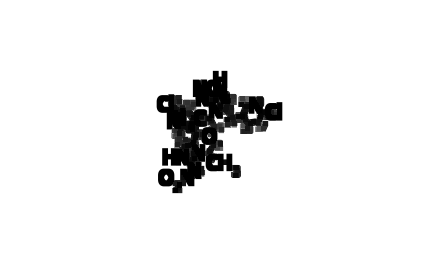 CC(COCC(C)N1C(=N[N+](=O)[O-])NCC1Cc1ccc(Cl)nc1)N1C(=N[N+](=O)[O-])NCC1Cc1ccc(Cl)nc1